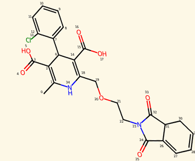 CC1=C(C(=O)O)C(c2ccccc2Cl)C(C(=O)O)=C(COCCN2C(=O)C3=CC=CCC3C2=O)N1